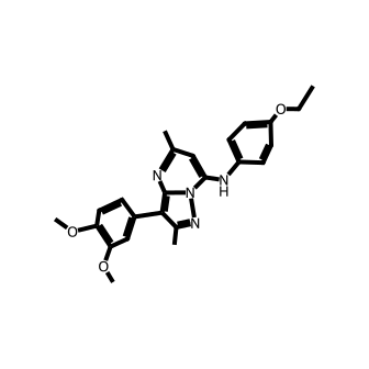 CCOc1ccc(Nc2cc(C)nc3c(-c4ccc(OC)c(OC)c4)c(C)nn23)cc1